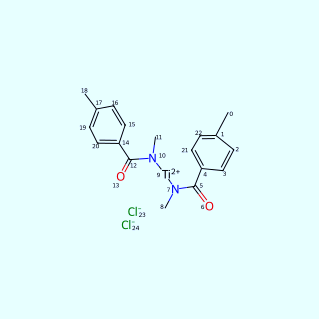 Cc1ccc(C(=O)[N](C)[Ti+2][N](C)C(=O)c2ccc(C)cc2)cc1.[Cl-].[Cl-]